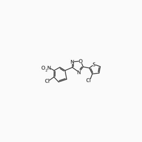 O=[N+]([O-])c1cc(-c2noc(-c3sccc3Cl)n2)ccc1Cl